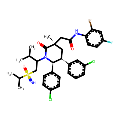 CC(C)C(CS(=N)(=O)C(C)C)N1C(=O)[C@@](C)(CC(=O)Nc2ccc(F)cc2Br)C[C@H](c2cccc(Cl)c2)[C@H]1c1ccc(Cl)cc1